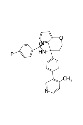 Cc1ccncc1-c1ccc(C2(NC(=O)c3ccc(F)cc3)CCOc3cccnc32)cc1